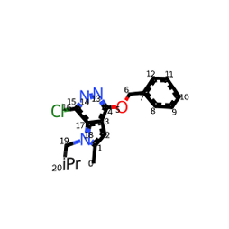 Cc1cc2c(OCc3ccccc3)nnc(Cl)c2n1CC(C)C